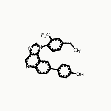 N#CCc1ccc(-n2cnc3cnc4ccc(-c5ccc(O)cc5)cc4c32)c(C(F)(F)F)c1